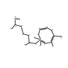 CC/C1=C(\C)C=S(C)(C)(CC(C)CCCC(C)NC)CC=CC1